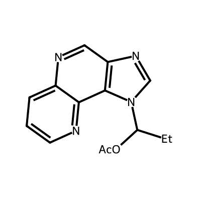 CCC(OC(C)=O)n1cnc2cnc3cccnc3c21